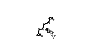 CCCCCC.[Ca+2].[H-].[H-].[N]